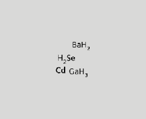 [BaH2].[Cd].[GaH3].[SeH2]